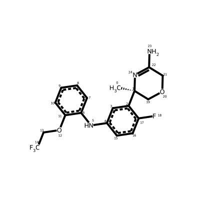 C[C@@]1(c2cc(Nc3ccccc3OCC(F)(F)F)ccc2F)COCC(N)=N1